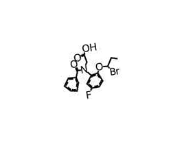 CC[C@@H](Br)Oc1ccc(F)cc1N(CC(=O)O)C(=O)c1ccccc1